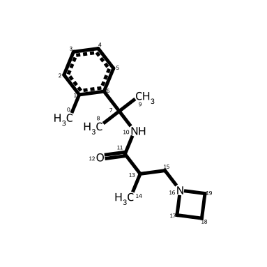 Cc1ccccc1C(C)(C)NC(=O)C(C)CN1CCC1